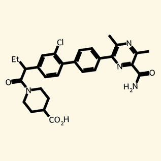 CCC(C(=O)N1CCC(C(=O)O)CC1)c1ccc(-c2ccc(-c3nc(C(N)=O)c(C)nc3C)cc2)c(Cl)c1